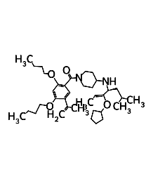 C=C(C)c1cc(C(=O)N2CCC(N[C@@H](CC(C)C)C(=CC)OC3CCCC3)CC2)c(OCCCC)cc1OCCCC